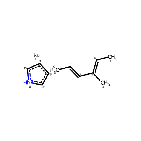 CC=CC(C)=CC.[Ru].c1cc[nH]c1